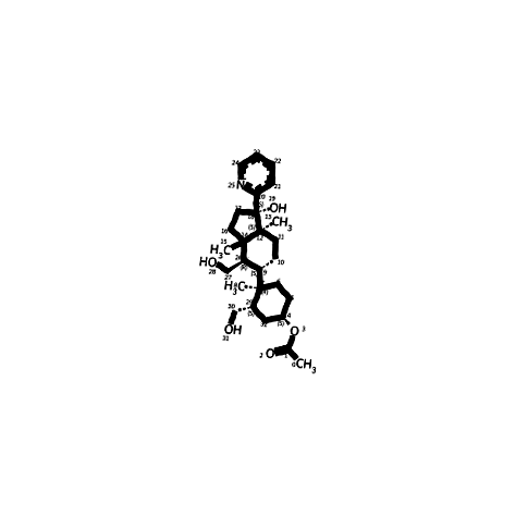 CC(=O)O[C@H]1CC[C@](C)([C@H]2CC[C@@]3(C)C(C)(CC[C@@]3(O)c3ccccn3)[C@@H]2CO)[C@@H](CO)C1